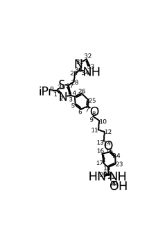 CC(C)c1nc(-c2ccc(OCCCCCOc3ccc(C(=N)NO)cc3)cc2)c(CCc2ncc[nH]2)s1